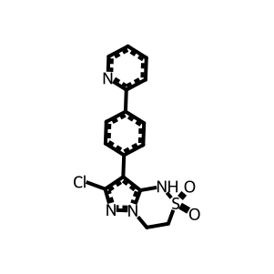 O=S1(=O)CCn2nc(Cl)c(-c3ccc(-c4ccccn4)cc3)c2N1